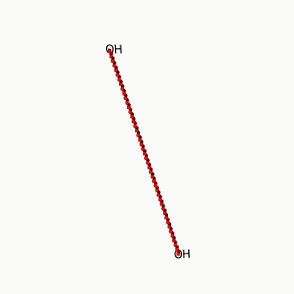 OCCCCCCCCCCCCCCCCCCCCCCCCCCCCCCCCCCCCCCCCCCCCCCCCCCCCCCCCCCCCCCCCCCCCCCCCCCCCCCCCCCCCCCCCO